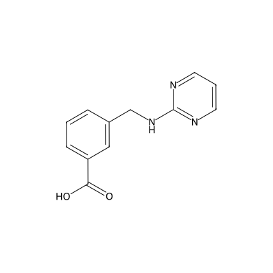 O=C(O)c1cccc(CNc2ncccn2)c1